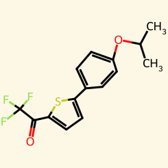 CC(C)Oc1ccc(-c2ccc(C(=O)C(F)(F)F)s2)cc1